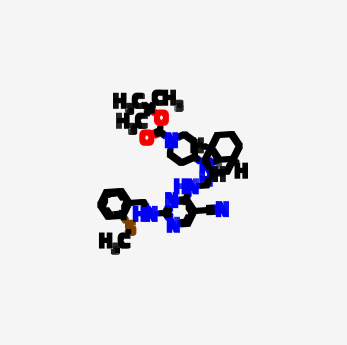 CSc1ccccc1CNc1ncc(C#N)c(NCC2C[C@H]3CCC[C@@H](C2)[C@@H]3NC2CCN(C(=O)OC(C)(C)C)CC2)n1